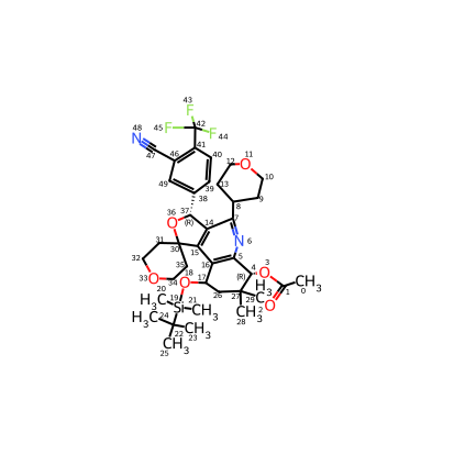 CC(=O)O[C@H]1c2nc(C3CCOCC3)c3c(c2C(O[Si](C)(C)C(C)(C)C)CC1(C)C)C1(CCOCC1)O[C@@H]3c1ccc(C(F)(F)F)c(C#N)c1